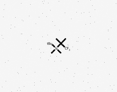 CC(C)(C)[Si](C)(C)C(C)(C)C(F)(F)F